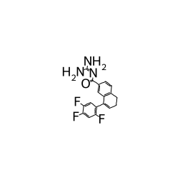 NC(N)=NC(=O)c1ccc2c(c1)C(c1cc(F)c(F)cc1F)=CCC2